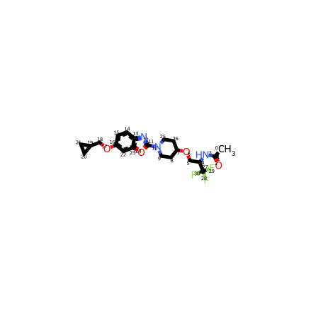 CC(=O)NC(COC1CCN(c2nc3ccc(OCC4CC4)cc3o2)CC1)C(F)(F)F